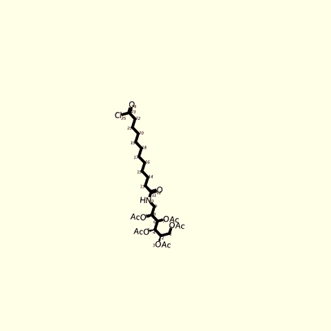 CC(=O)OC[C@@H](OC(C)=O)[C@@H](OC(C)=O)C(OC(C)=O)C(CNC(=O)CCCCCCCCCCC(=O)Cl)OC(C)=O